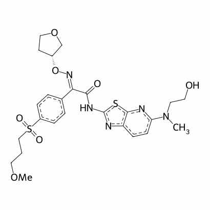 COCCCS(=O)(=O)c1ccc(/C(=N\O[C@@H]2CCOC2)C(=O)Nc2nc3ccc(N(C)CCO)nc3s2)cc1